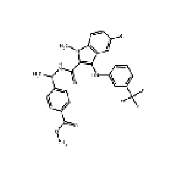 COC(=O)c1ccc(C(C)NC(=O)c2c(Nc3cccc(C(F)(F)F)c3)c3cc(Cl)ccc3n2C)cc1